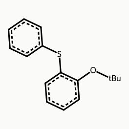 CC(C)(C)Oc1ccccc1Sc1ccccc1